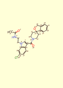 CC(=O)NCCn1cc(C(=O)N2CCC3(CC2)OCc2ccccc23)c2ccc(Cl)cc21